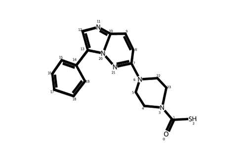 O=C(S)N1CCN(c2ccc3ncc(-c4ccccc4)n3n2)CC1